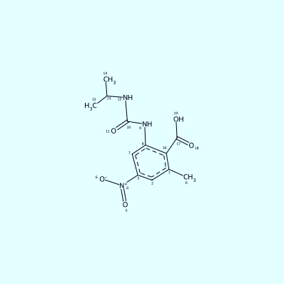 Cc1cc([N+](=O)[O-])cc(NC(=O)NC(C)C)c1C(=O)O